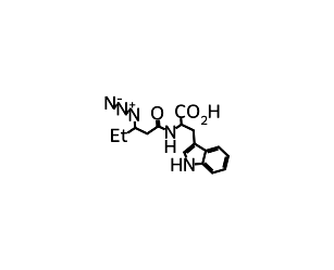 CCC(CC(=O)NC(Cc1c[nH]c2ccccc12)C(=O)O)N=[N+]=[N-]